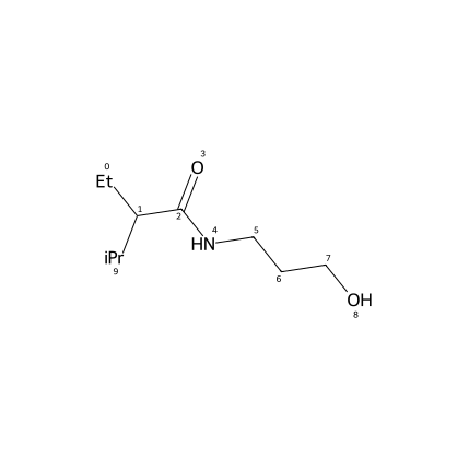 CCC(C(=O)NCCCO)C(C)C